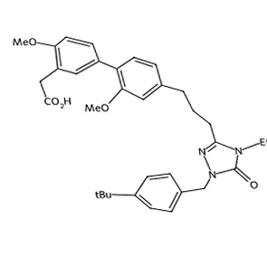 CCn1c(CCCc2ccc(-c3ccc(OC)c(CC(=O)O)c3)c(OC)c2)nn(Cc2ccc(C(C)(C)C)cc2)c1=O